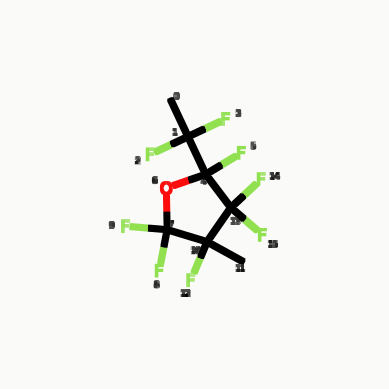 CC(F)(F)C1(F)OC(F)(F)C(C)(F)C1(F)F